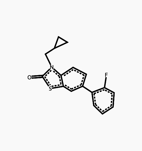 O=c1sc2cc(-c3ccccc3F)ccc2n1CC1CC1